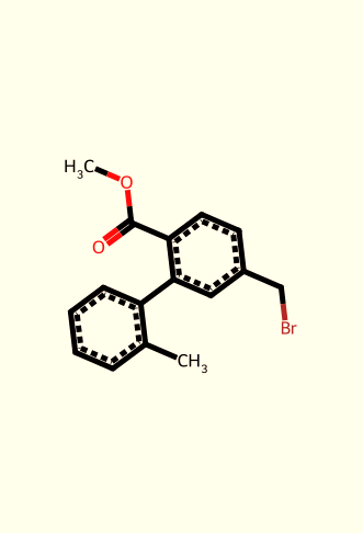 COC(=O)c1ccc(CBr)cc1-c1ccccc1C